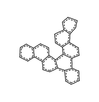 c1ccc2c(c1)ccc1c2ccc2c3ccccc3c3ccc4c5ccccc5ccc4c3c12